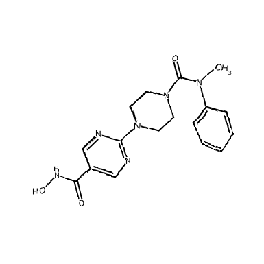 CN(C(=O)N1CCN(c2ncc(C(=O)NO)cn2)CC1)c1ccccc1